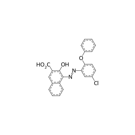 O=C(O)c1cc2ccccc2c(/N=N/c2cc(Cl)ccc2Oc2ccccc2)c1O